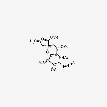 C=CC[C@]1(C(=O)OC)C[C@H](OC(C)=O)[C@@H](NC(C)=O)[C@H]([C@H](OC(C)=O)[C@@H](CN=[N+]=[N-])OC(C)=O)O1